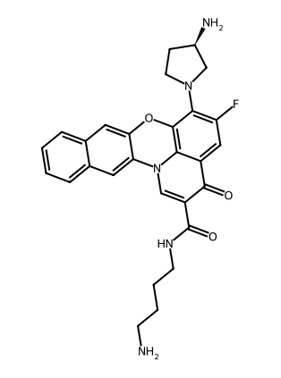 NCCCCNC(=O)c1cn2c3c(c(N4CC[C@@H](N)C4)c(F)cc3c1=O)Oc1cc3ccccc3cc1-2